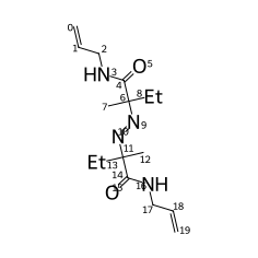 C=CCNC(=O)C(C)(CC)N=NC(C)(CC)C(=O)NCC=C